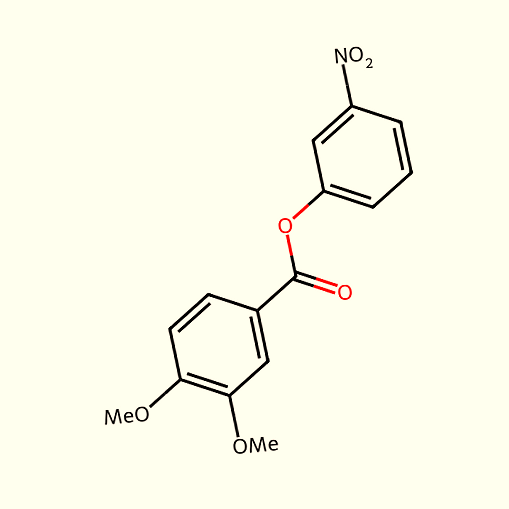 COc1ccc(C(=O)Oc2cccc([N+](=O)[O-])c2)cc1OC